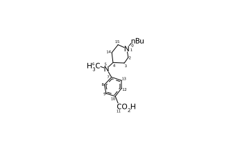 CCCCN1CCC(N(C)c2ccc(C(=O)O)cc2)CC1